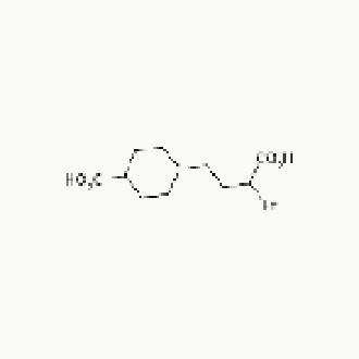 CCC(CC[C]1CCC(C(=O)O)CC1)C(=O)O